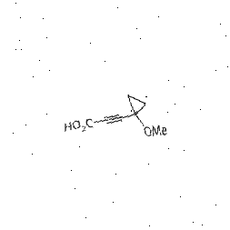 COC1(C#CC(=O)O)CC1